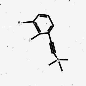 CC(=O)c1cccc(C#CS(C)(C)C)c1F